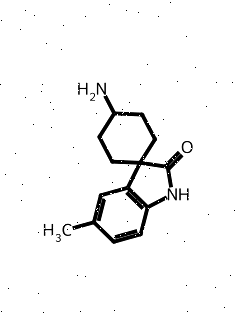 Cc1ccc2c(c1)C1(CCC(N)CC1)C(=O)N2